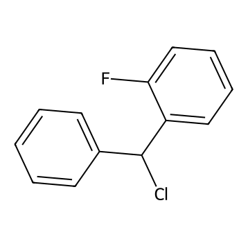 Fc1ccccc1C(Cl)c1ccccc1